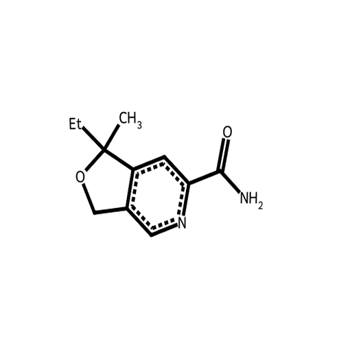 CCC1(C)OCc2cnc(C(N)=O)cc21